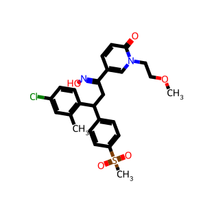 COCCn1cc(/C(CC(c2ccc(S(C)(=O)=O)cc2)c2ccc(Cl)cc2C)=N/O)ccc1=O